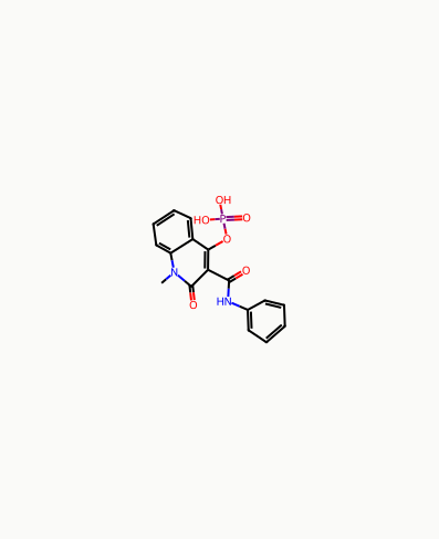 Cn1c(=O)c(C(=O)Nc2ccccc2)c(OP(=O)(O)O)c2ccccc21